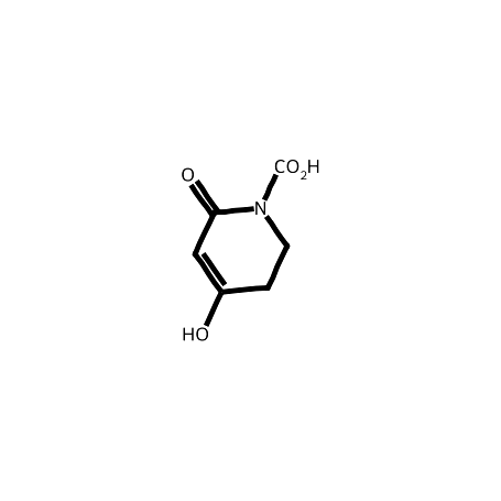 O=C(O)N1CCC(O)=CC1=O